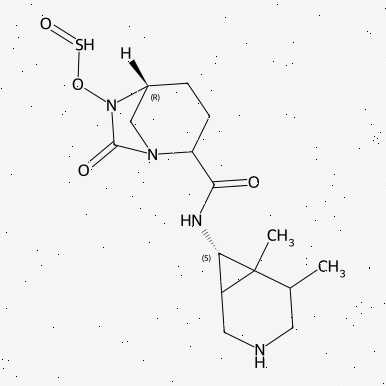 CC1CNCC2[C@H](NC(=O)C3CC[C@@H]4CN3C(=O)N4O[SH]=O)C12C